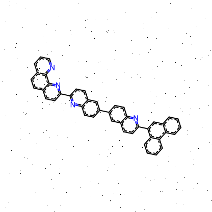 c1ccc2c(c1)cc(-c1ccc3cc(-c4ccc5nc(-c6ccc7ccc8cccnc8c7n6)ccc5c4)ccc3n1)c1ccccc12